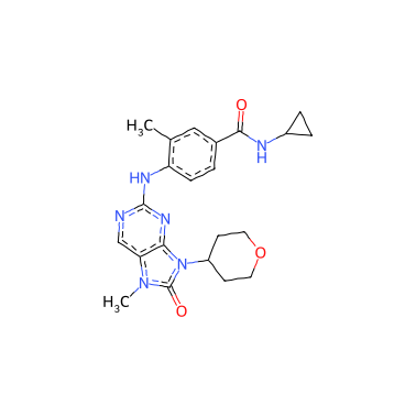 Cc1cc(C(=O)NC2CC2)ccc1Nc1ncc2c(n1)n(C1CCOCC1)c(=O)n2C